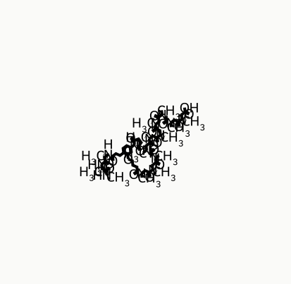 CNC(=O)[C@H](C)NC(=O)[C@H](C)NC(=O)CCc1ccc(N2C(=O)C=CC2=O)cc1OCCCC(=O)N(C)CC(=O)N(C)CC(=O)N(C)CC(=O)N(C)CC(=O)N(C)CC(=O)N(C)CC(=O)N(C)CC(=O)N(C)CC(=O)N(C)CC(=O)N(C)CC(=O)O